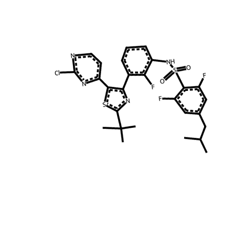 CC(C)Cc1cc(F)c(S(=O)(=O)Nc2cccc(-c3nc(C(C)(C)C)sc3-c3ccnc(Cl)n3)c2F)c(F)c1